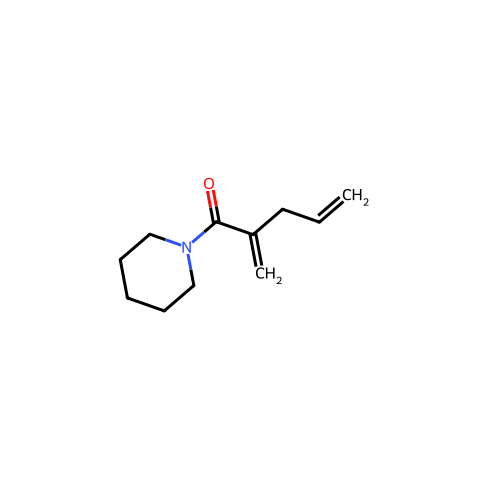 C=CCC(=C)C(=O)N1CCCCC1